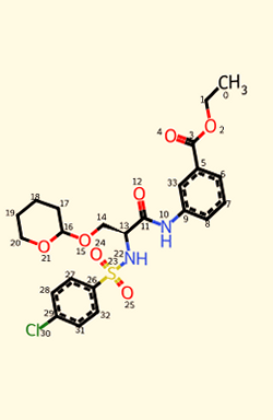 CCOC(=O)c1cccc(NC(=O)[C@H](COC2CCCCO2)NS(=O)(=O)c2ccc(Cl)cc2)c1